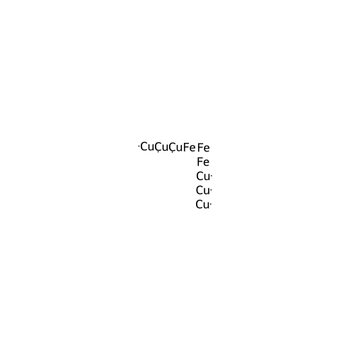 [Cu].[Cu].[Cu].[Cu].[Cu].[Cu].[Fe].[Fe].[Fe]